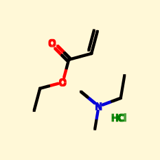 C=CC(=O)OCC.CCN(C)C.Cl